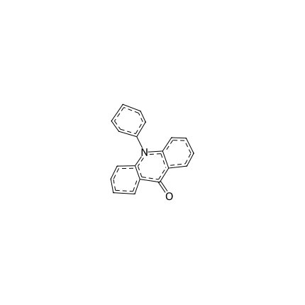 O=c1c2ccccc2n(-c2ccccc2)c2ccccc12